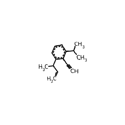 C#Cc1c([C](C)C=C)cccc1C(C)C